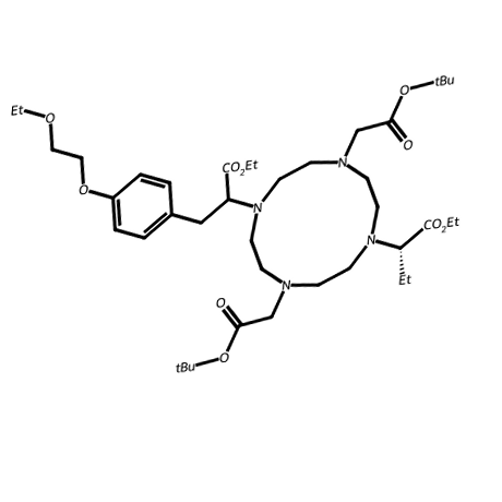 CCOCCOc1ccc(CC(C(=O)OCC)N2CCN(CC(=O)OC(C)(C)C)CCN([C@@H](CC)C(=O)OCC)CCN(CC(=O)OC(C)(C)C)CC2)cc1